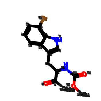 COC(=O)C(Cc1c[nH]c2c(Br)cccc12)NC(=O)OC(C)(C)C